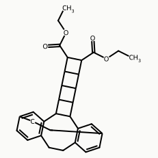 CCOC(=O)C1C(C(=O)OCC)C2C1C1C3C4c5cc6ccc5CCc5ccc(cc5C4C3C21)CC6